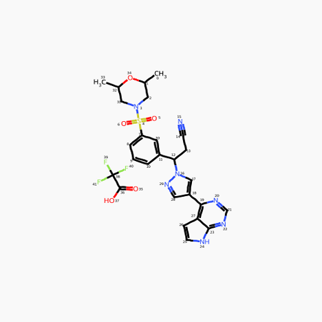 CC1CN(S(=O)(=O)c2cccc(C(CC#N)n3cc(-c4ncnc5[nH]ccc45)cn3)c2)CC(C)O1.O=C(O)C(F)(F)F